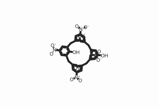 O=[N+]([O-])c1cc2c(O)c(c1)Cc1cc([N+](=O)[O-])cc(c1O)Cc1cc(O)cc(c1[N+](=O)[O-])Cc1cc([N+](=O)[O-])cc(c1O)C2